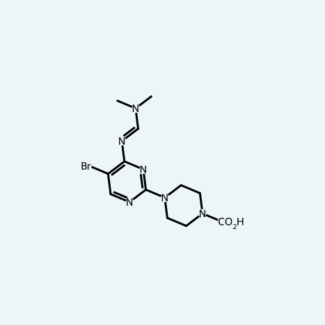 CN(C)C=Nc1nc(N2CCN(C(=O)O)CC2)ncc1Br